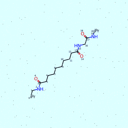 CC(C)CNC(=O)CCCCCCCCC(=O)NCC(=O)NC(C)C